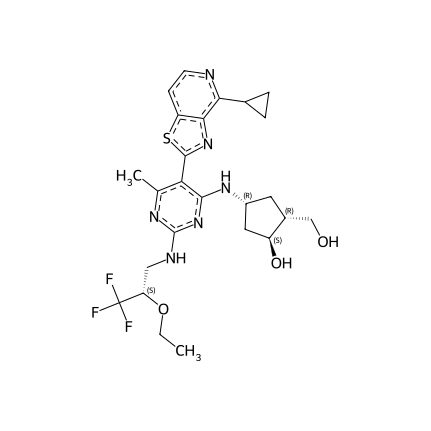 CCO[C@@H](CNc1nc(C)c(-c2nc3c(C4CC4)nccc3s2)c(N[C@@H]2C[C@H](CO)[C@@H](O)C2)n1)C(F)(F)F